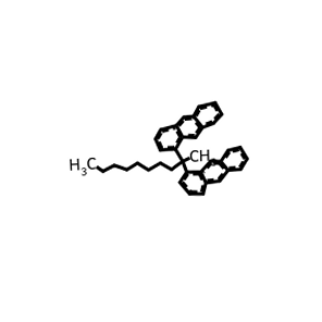 CCCCCCCCC(C)(c1cccc2cc3ccccc3cc12)c1cccc2cc3ccccc3cc12